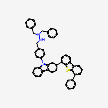 c1ccc(CN(Cc2ccccc2)NCc2ccc(-n3c4ccccc4c4ccc(-c5cccc6c5sc5c(-c7ccccc7)cccc56)cc43)cc2)cc1